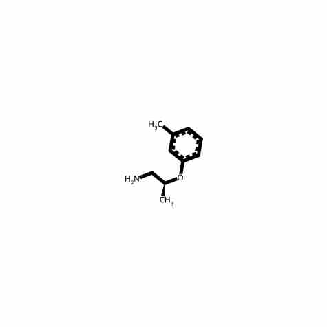 Cc1cccc(O[C@@H](C)CN)c1